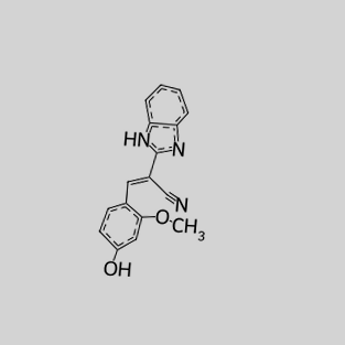 COc1cc(O)ccc1C=C(C#N)c1nc2ccccc2[nH]1